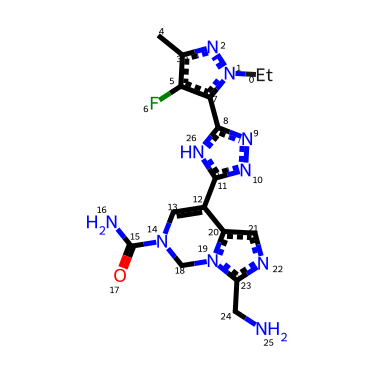 CCn1nc(C)c(F)c1-c1nnc(C2=CN(C(N)=O)Cn3c2cnc3CN)[nH]1